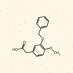 COc1ccc(CC(=O)O)cc1OCc1ccccc1